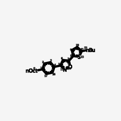 CCCCCCCCc1ccc(-c2cc(-c3ccc(CCCC)s3)on2)cc1